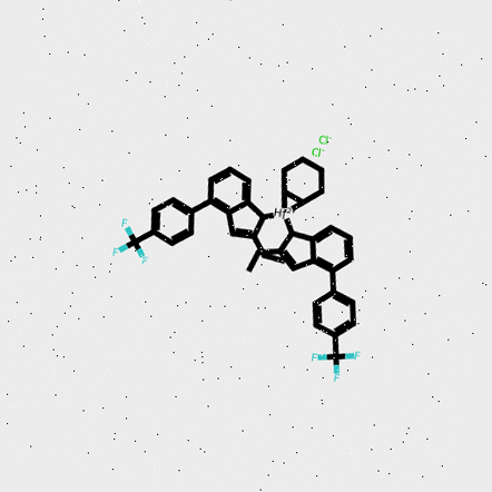 CCC1=Cc2c(-c3ccc(C(F)(F)F)cc3)cccc2[CH]1[Hf+2]1([CH]2C(CC)=Cc3c(-c4ccc(C(F)(F)F)cc4)cccc32)[CH]2CCCC[CH]21.[Cl-].[Cl-]